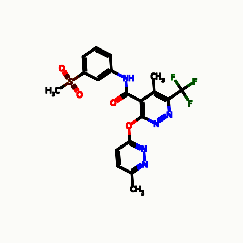 Cc1ccc(Oc2nnc(C(F)(F)F)c(C)c2C(=O)Nc2cccc(S(C)(=O)=O)c2)nn1